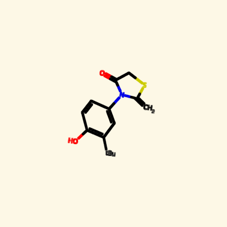 C=C1SCC(=O)N1c1ccc(O)c(C(C)(C)C)c1